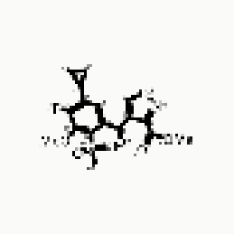 COC(=O)c1nocc1C(=O)c1cc(C2CC2)c(F)c(OC)c1S(C)(=O)=O